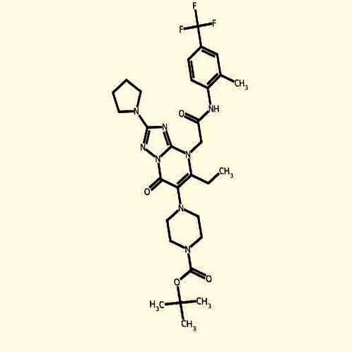 CCc1c(N2CCN(C(=O)OC(C)(C)C)CC2)c(=O)n2nc(N3CCCC3)nc2n1CC(=O)Nc1ccc(C(F)(F)F)cc1C